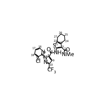 CNC(=O)c1c(NC(=O)c2cc(C(F)(F)F)nn2-c2ncccc2Cl)sc2c1CCCC2